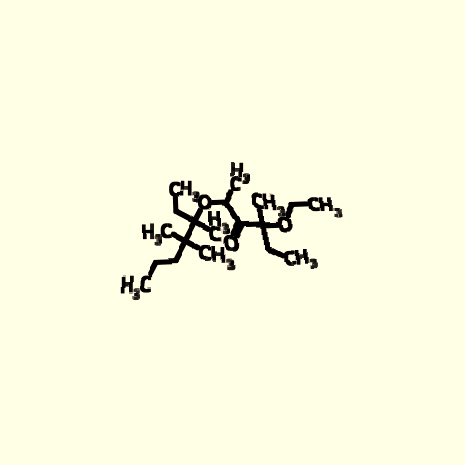 CCCC(C)(C)C(C)(CC)OC(C)C(=O)C(C)(CC)OCC